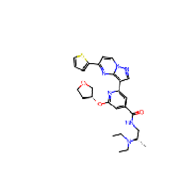 CCN(CC)[C@@H](C)CNC(=O)c1cc(O[C@@H]2CCOC2)nc(-c2cnn3ccc(-c4cccs4)nc23)c1